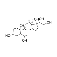 CC12CCC(O)CC1C(O)CC1C2CCC2(C)C1CCC2(O)C(O)CO